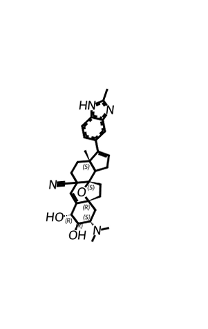 Cc1nc2cc(C3=CCC4[C@@]56CC[C@]7(C[C@H](N(C)C)[C@@H](O)[C@H](O)C7=CC5(C#N)CC[C@]34C)O6)ccc2[nH]1